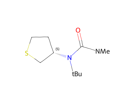 CNC(=O)N([C@H]1CCSC1)C(C)(C)C